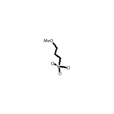 COCCC[Si](Cl)(Cl)Cl